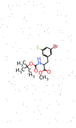 COC(=O)C(Cc1cc(F)cc(Br)c1)NC(=O)OC(C)(C)C